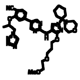 COCCOCCCOc1nn(C2(N3CCOCC3)CCCCC2)cc1Nc1ncc(-c2ccc(C#N)c(OC(C)Cn3cnnn3)c2)cn1